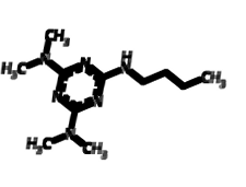 CCCCNc1nc(N(C)C)nc(N(C)C)n1